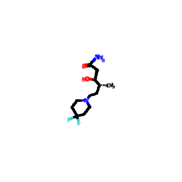 C[C@H](CCN1CCC(F)(F)CC1)[C@@H](O)CC(N)=O